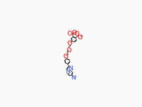 COC(=O)c1ccc(OCCOCCOc2ccc(-c3cn4ccc(N(C)C)cc4n3)cc2)cc1C(=O)OC